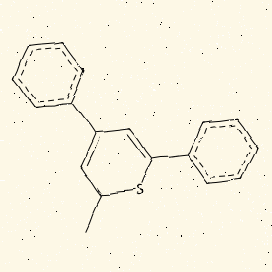 CC1C=C(c2ccccc2)C=C(c2ccccc2)S1